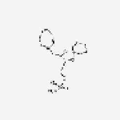 NS(=O)(=O)OCC1OC2(CCCCC2)OC1CC1=CCC=CC=C1